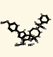 CCOc1ccc(-c2ccc(C3(CC(=O)NO)CCN(S(=O)(=O)c4cccnc4)CCS3(=O)=O)s2)cc1.Cl